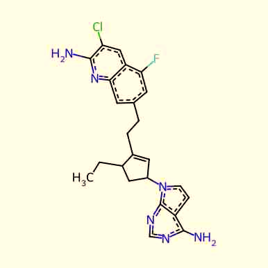 CCC1CC(n2ccc3c(N)ncnc32)C=C1CCc1cc(F)c2cc(Cl)c(N)nc2c1